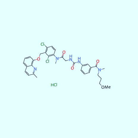 COCCCN(C)C(=O)c1cccc(NC(=O)NCC(=O)N(C)c2ccc(Cl)c(COc3cccc4ccc(C)nc34)c2Cl)c1.Cl